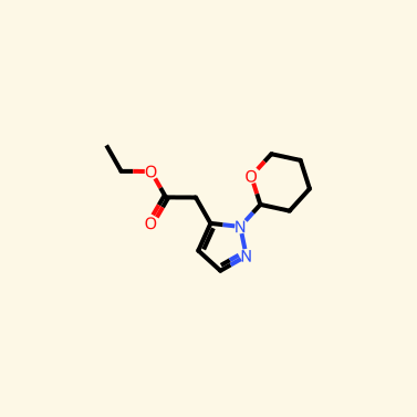 CCOC(=O)Cc1ccnn1C1CCCCO1